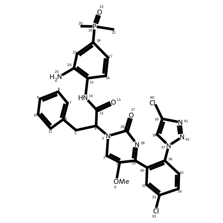 COc1cn(C(Cc2ccccc2)C(=O)Nc2ccc(P(C)(C)=O)cc2N)c(=O)nc1-c1cc(Cl)ccc1-n1cc(Cl)nn1